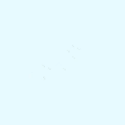 CCCCCn1nc(C(=O)CC)nc1Cc1ccc(-c2ccccc2-c2nnn[nH]2)cn1